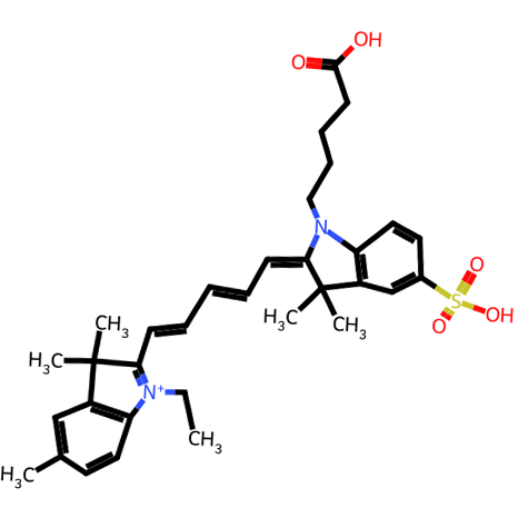 CC[N+]1=C(/C=C/C=C/C=C2/N(CCCCC(=O)O)c3ccc(S(=O)(=O)O)cc3C2(C)C)C(C)(C)c2cc(C)ccc21